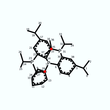 CC(C)c1ccc(P(c2ccccc2)c2ccc(C(C)C)cc2P(C(C)C)C(C)C)c(P(C(C)C)C(C)C)c1